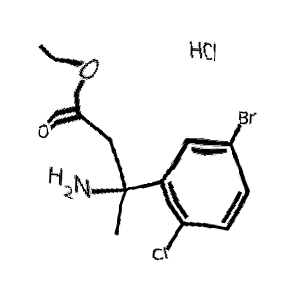 COC(=O)CC(C)(N)c1cc(Br)ccc1Cl.Cl